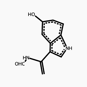 C=C(NC=O)c1c[nH]c2ccc(O)cc12